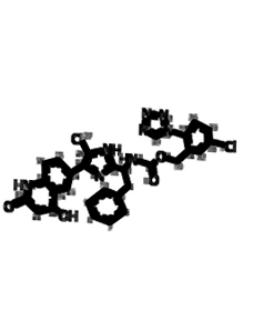 O=C(NC(Cc1ccccc1)c1nc(-c2ccc3[nH]c(=O)cc(O)c3c2)c(Cl)[nH]1)OCc1cc(Cl)ccc1-n1cnnn1